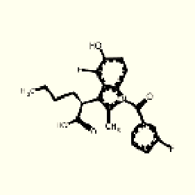 CCCC[C@H](C(=O)O)c1c(C)n(C(=O)c2cccc(F)c2)c2ccc(O)c(F)c12